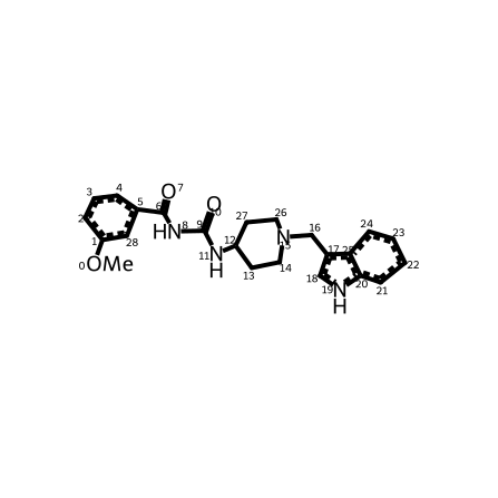 COc1cccc(C(=O)NC(=O)NC2CCN(Cc3c[nH]c4ccccc34)CC2)c1